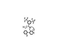 CC(c1cc(C(F)(F)F)cc(C(F)(F)F)c1)N1CCOc2nccc(-c3ccccc3F)c2C1